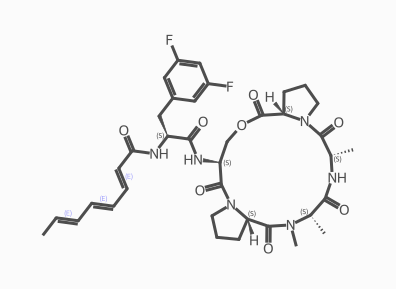 C/C=C/C=C/C=C/C(=O)N[C@@H](Cc1cc(F)cc(F)c1)C(=O)N[C@H]1COC(=O)[C@@H]2CCCN2C(=O)[C@H](C)NC(=O)[C@H](C)N(C)C(=O)[C@@H]2CCCN2C1=O